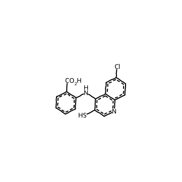 O=C(O)c1ccccc1Nc1c(S)cnc2ccc(Cl)cc12